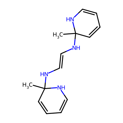 CC1(N/C=C/NC2(C)C=CC=CN2)C=CC=CN1